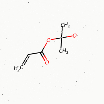 C=CC(=O)OC(C)(C)[O]